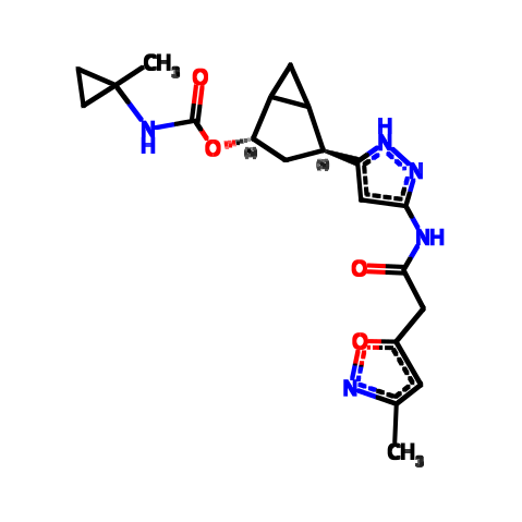 Cc1cc(CC(=O)Nc2cc([C@H]3C[C@H](OC(=O)NC4(C)CC4)C4CC43)[nH]n2)on1